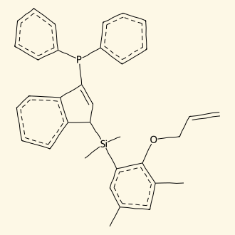 C=CCOc1c(C)cc(C)cc1[Si](C)(C)C1C=C(P(c2ccccc2)c2ccccc2)c2ccccc21